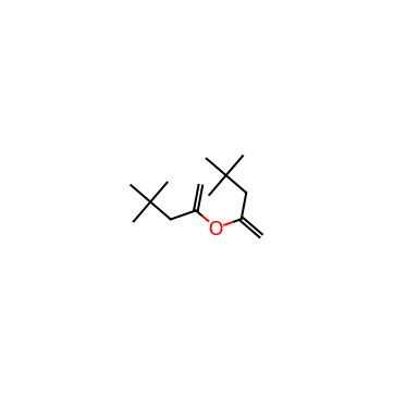 C=C(CC(C)(C)C)OC(=C)CC(C)(C)C